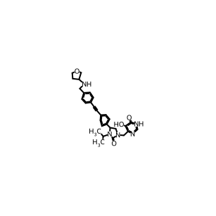 CC(C)N1C(=O)N(Cc2nc[nH]c(=O)c2O)CC1c1ccc(C#Cc2ccc(CNC3CCOC3)cc2)cc1